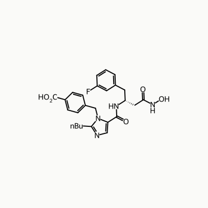 CCCCc1ncc(C(=O)N[C@@H](CC(=O)NO)Cc2cccc(F)c2)n1Cc1ccc(C(=O)O)cc1